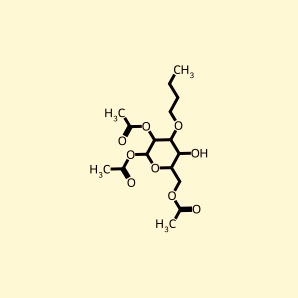 CCCCOC1C(O)C(COC(C)=O)OC(OC(C)=O)C1OC(C)=O